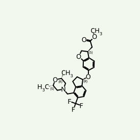 COC(=O)C[C@@H]1COc2cc(O[C@@H]3CCc4c3ccc(C(F)(F)F)c4CN3C[C@@H](C)O[C@@H](C)C3)ccc21